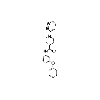 O=C(Nc1cccc(Oc2ccccc2)c1)C1CCN(c2cccnn2)CC1